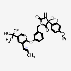 C/C=C/c1cc(C(O)(C(F)(F)F)C(F)(F)F)cnc1Oc1cccc(CN2C(=O)NC(C)(c3ccc(OC(C)C)cc3)C2=O)c1